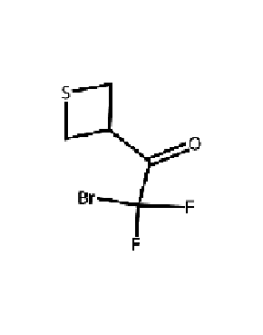 O=C(C1CSC1)C(F)(F)Br